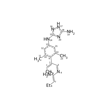 C\C=C(/C=N\C(N)=C\CC)c1c(C)cc(Nc2n[nH]c(N)n2)cc1C